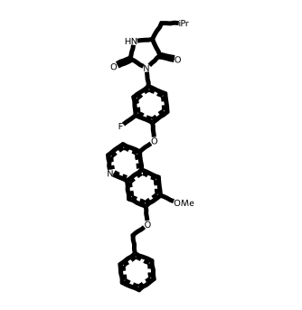 COc1cc2c(Oc3ccc(N4C(=O)NC(CC(C)C)C4=O)cc3F)ccnc2cc1OCc1ccccc1